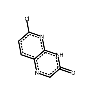 O=c1cnc2ccc(Cl)nc2[nH]1